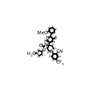 COc1ccccc1-c1ncc(C2(NC(=O)OC3CCN(C)C3)CCN(c3ccc(C(F)(F)F)cc3C#N)CC2)cc1F